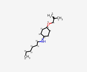 C=C(C)COC1CCC(NCCCCCC)CC1